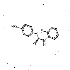 O=C(Nc1ccccc1F)Sc1ccc(O)cc1